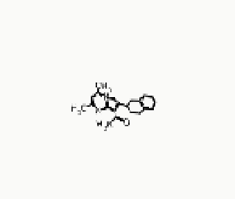 Cc1cc(C)n2cc(C3CCc4ccccc4C3)c(C(N)=O)c2n1